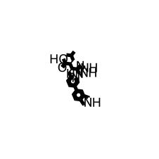 CC(C)C[C@H](C(=O)O)[C@H](Cc1ccc(-c2ccc3c(c2)CNC3)cn1)C1=NNNN1